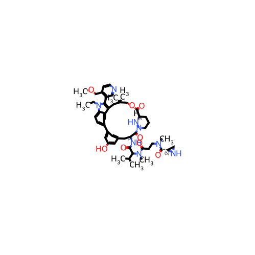 CCn1c(-c2cnccc2COC)c2c3cc(ccc31)-c1cc(O)cc(c1)C[C@H](NC(=O)C(C(C)C)N(C)C(=O)CCN(C)C(=O)[C@@H]1CN1)C(=O)N1CCC[C@H](N1)C(=O)OCC(C)(C)C2